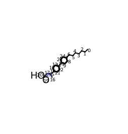 CCCCCCCc1ccc(-c2ccc(/C(C)=C/C(=O)O)cc2)cc1